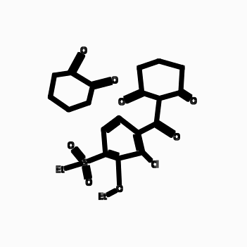 CCOc1c(S(=O)(=O)CC)ccc(C(=O)C2C(=O)CCCC2=O)c1Cl.O=C1CCCCC1=O